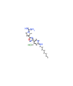 CCCCCCCCNc1ccc(-c2noc([C@@H]3CCN(C(=N)N)C3)n2)cn1.Cl